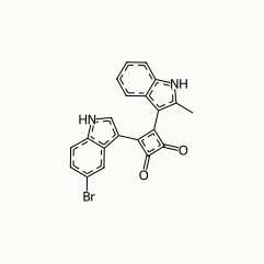 Cc1[nH]c2ccccc2c1-c1c(-c2c[nH]c3ccc(Br)cc23)c(=O)c1=O